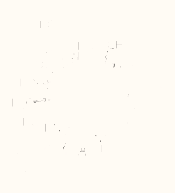 C=C1N[C@H](Cc2ccccc2)C(=O)NCCCc2ccccc2O[C@H](C)CN[C@@H](CCC)C(=O)N(C)[C@@H]1C